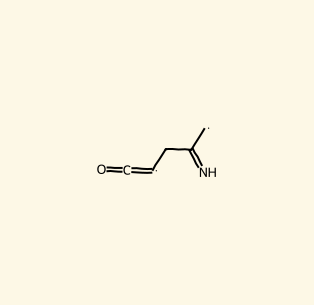 [CH2]C(=N)C[C]=C=O